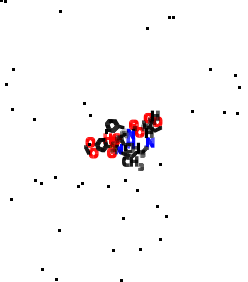 CC(C)(CCCC#N)CN(C[C@@H](O)[C@H](Cc1ccccc1)NC(=O)O[C@H]1CO[C@H]2OCC[C@H]21)S(=O)(=O)c1ccc2c(c1)OCCO2